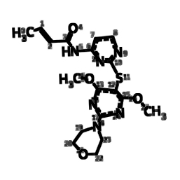 CC=CC(=O)Nc1ccnc(Sc2c(OC)nc(N3CCOCC3)nc2OC)n1